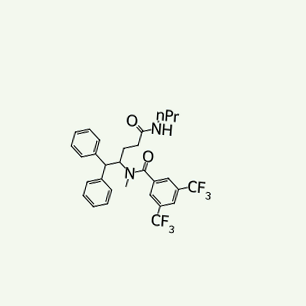 CCCNC(=O)CCC(C(c1ccccc1)c1ccccc1)N(C)C(=O)c1cc(C(F)(F)F)cc(C(F)(F)F)c1